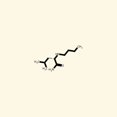 CCCCN[C@@H](CC(C)C)C(N)=O